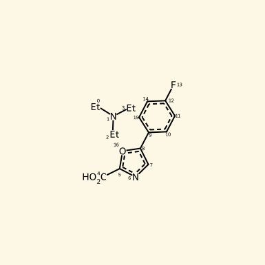 CCN(CC)CC.O=C(O)c1ncc(-c2ccc(F)cc2)o1